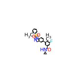 Cc1ccccc1S(=O)(=O)n1ncc2cc(-c3cc(C(=O)NC4CC4)cc(F)c3C)ccc21